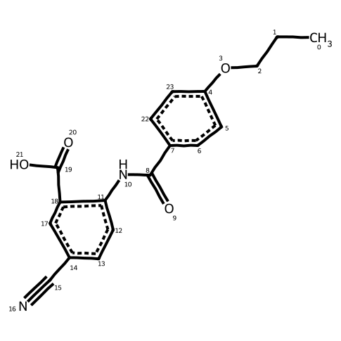 CCCOc1ccc(C(=O)Nc2ccc(C#N)cc2C(=O)O)cc1